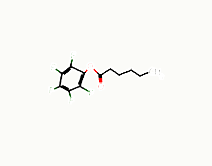 CC[CH]CCC(=O)Oc1c(F)c(F)c(F)c(F)c1F